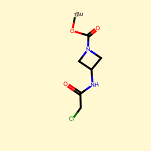 CC(C)(C)OC(=O)N1CC(NC(=O)CCl)C1